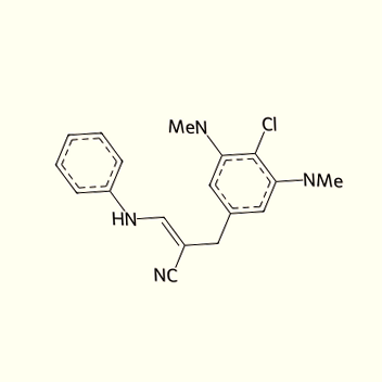 CNc1cc(CC(C#N)=CNc2ccccc2)cc(NC)c1Cl